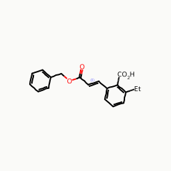 CCc1cccc(/C=C/C(=O)OCc2ccccc2)c1C(=O)O